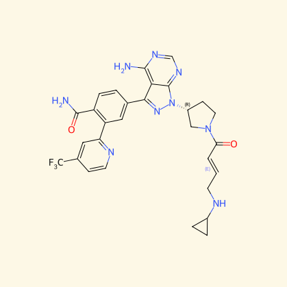 NC(=O)c1ccc(-c2nn([C@@H]3CCN(C(=O)/C=C/CNC4CC4)C3)c3ncnc(N)c23)cc1-c1cc(C(F)(F)F)ccn1